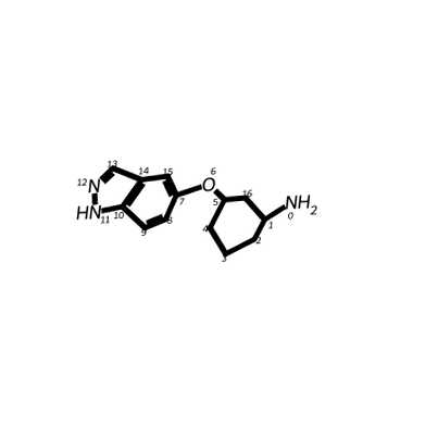 NC1CCCC(Oc2ccc3[nH]ncc3c2)C1